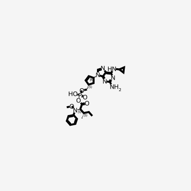 CC[C@H](C)[C@@H](C(=O)OP(=O)(O)OC[C@@H]1C=C[C@H](n2cnc3c(NC4CC4)nc(N)nc32)C1)N(OC)c1ccccc1